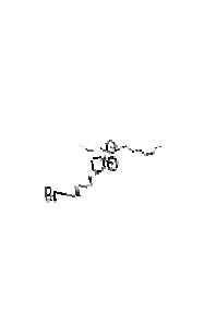 CC/C=C\CCCCOC(CCC)C(=O)OCCCCCBr